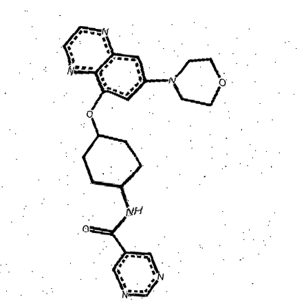 O=C(NC1CCC(Oc2cc(N3CCOCC3)cc3nccnc23)CC1)c1cncnc1